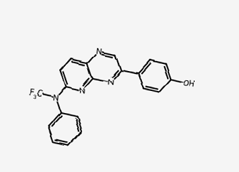 Oc1ccc(-c2cnc3ccc(N(c4ccccc4)C(F)(F)F)nc3n2)cc1